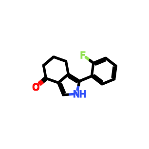 O=C1CCCc2c1c[nH]c2-c1ccccc1F